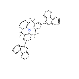 CC1(C)c2cccc3c2N2c4c1cc(-c1cc5ccccc5c5ccccc15)cc4C(C)(C)c1cc(-c4cc5ccccc5c5ccccc45)cc(c12)C3(C)C